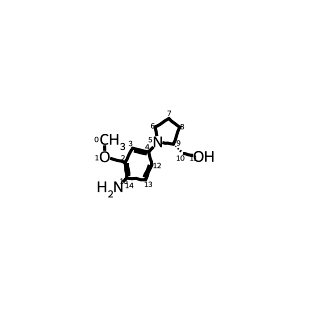 COc1cc(N2CCC[C@@H]2CO)ccc1N